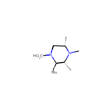 C[C@@H]1C(C(C)(C)C)N(C(=O)O)C[C@H](C)N1C